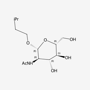 CC(=O)N[C@H]1[C@H](OCCC(C)C)O[C@H](CO)[C@@H](O)[C@@H]1O